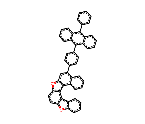 c1ccc(-c2c3ccccc3c(-c3ccc(-c4cc5oc6ccc7oc8ccccc8c7c6c5c5ccccc45)cc3)c3ccccc23)cc1